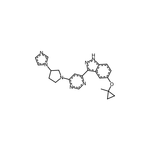 CC1(Oc2ccc3[nH]nc(-c4cc(N5CCC(n6ccnc6)C5)ncn4)c3c2)CC1